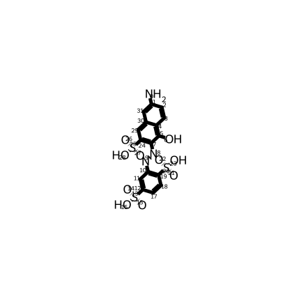 Nc1ccc2c(O)c(N=Nc3cc(S(=O)(=O)O)ccc3S(=O)(=O)O)c(S(=O)(=O)O)cc2c1